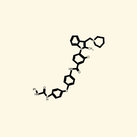 Cc1c(CN2CCCCC2)c2ccccc2n1-c1ccc(C(=O)Nc2ccc(Oc3ccc(NC(=O)NC(C)C)cc3)cc2)cc1Cl